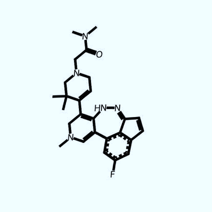 CN1C=C2C(=C(C3=CCN(CC(=O)N(C)C)CC3(C)C)C1)NN=C1C=Cc3cc(F)cc2c31